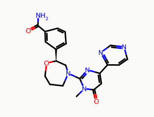 Cn1c(N2CCCO[C@@H](c3cccc(C(N)=O)c3)C2)nc(-c2ccncn2)cc1=O